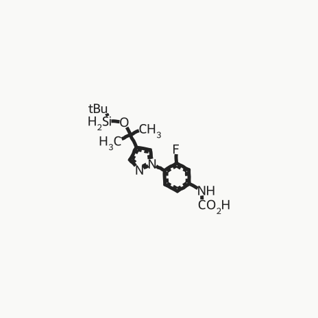 CC(C)(C)[SiH2]OC(C)(C)c1cnn(-c2ccc(NC(=O)O)cc2F)c1